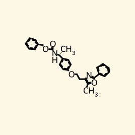 Cc1oc(-c2ccccc2)nc1CCOc1ccc([C@@H](C)NC(=O)OCc2ccccc2)cc1